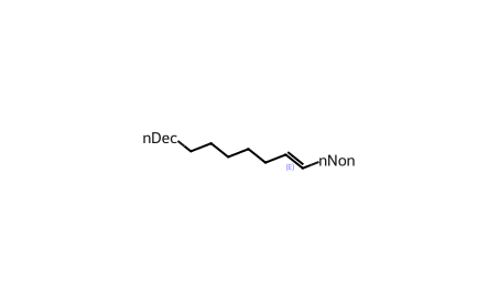 [CH2]CCCCCCCC/C=C/CCCCCCCCCCCCCC[CH2]